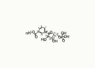 CCCOC(=O)c1ccc[n+]([C@@H]2O[C@H](COP(=O)(O)O)[C@@H](O)[C@H]2O)c1